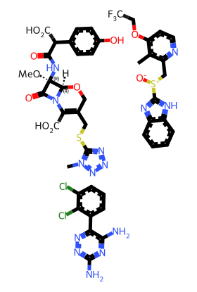 CO[C@@]1(NC(=O)C(C(=O)O)c2ccc(O)cc2)C(=O)N2C(C(=O)O)=C(CSc3nnnn3C)CO[C@@H]21.Cc1c(OCC(F)(F)F)ccnc1C[S+]([O-])c1nc2ccccc2[nH]1.Nc1nnc(-c2cccc(Cl)c2Cl)c(N)n1